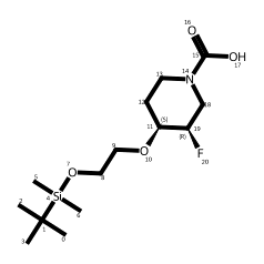 CC(C)(C)[Si](C)(C)OCCO[C@H]1CCN(C(=O)O)C[C@H]1F